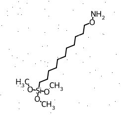 CO[Si](CCCCCCCCCCCON)(OC)OC